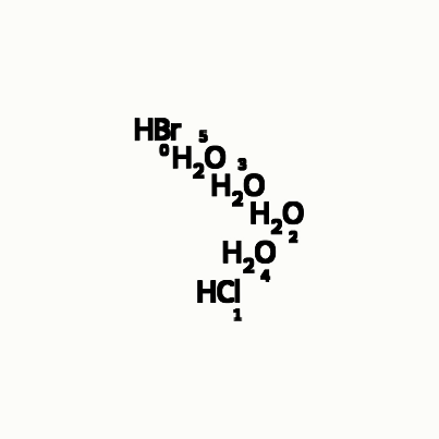 Br.Cl.O.O.O.O